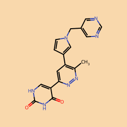 Cc1nnc(-c2c[nH]c(=O)[nH]c2=O)cc1-c1ccn(Cc2cncnc2)c1